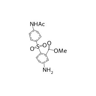 COC(=O)c1cc(N)ccc1S(=O)(=O)c1ccc(NC(C)=O)cc1